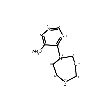 COc1cncnc1N1CCCNCC1